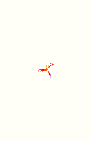 [O][PH](=O)I